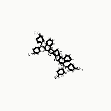 N#Cc1ccc(N(c2ccc(C(F)(F)F)cc2)c2cc3oc4c(ccc5c4oc4cc(N(c6ccc(C#N)cc6)c6ccc(C(F)(F)F)cc6)c6ccccc6c45)c3c3ccccc23)cc1